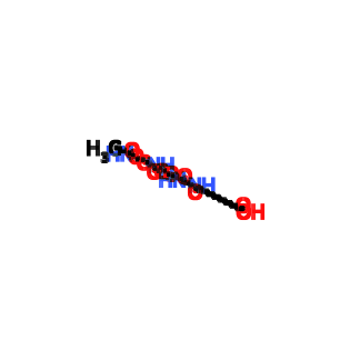 CCCCNC(=O)COCCOCCNC(=O)COCCOCCNC(=O)CCCNC(=O)CCCCCCCCCCCCCCC(=O)O